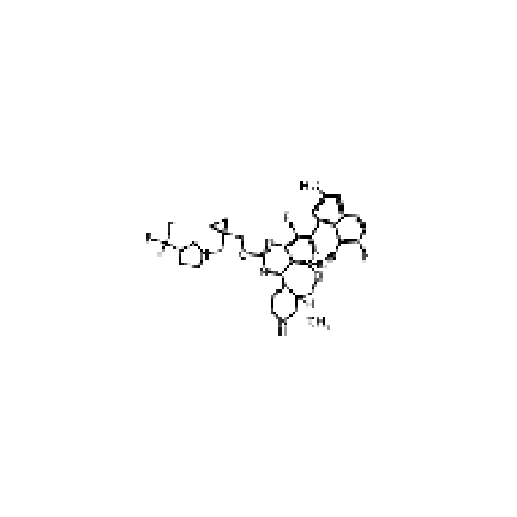 C#Cc1c(F)ccc2cc(O)cc(-c3nc4c5c(nc(OCC6(CN7CC[C@@H](C(F)(F)F)C7)CC6)nc5c3F)N3CCN[C@@H](C)[C@H]3CO4)c12